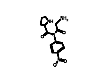 NCC(=O)N(C(=O)C1CCCN1)c1ccc([N+](=O)[O-])cc1